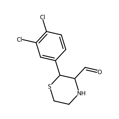 O=CC1NCCSC1c1ccc(Cl)c(Cl)c1